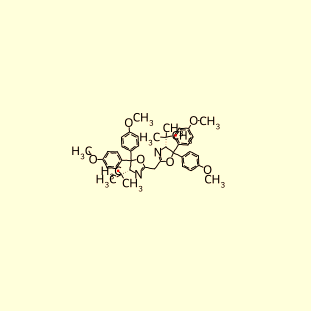 COc1ccc(C2(c3ccc(OC)cc3)OC(CC3=N[C@H](C(C)(C)C)C(c4ccc(OC)cc4)(c4ccc(OC)cc4)O3)=N[C@@H]2C(C)(C)C)cc1